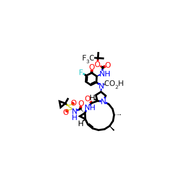 C[C@H]1CC/C=C\[C@@H]2C[C@@]2(C(=O)NS(=O)(=O)C2(C)CC2)NC(=O)[C@@H]2C[C@@H](N(C(=O)O)C3=CC=C(F)C(=O)[C@H]3NC(=O)OC(C)(C)C(F)(F)F)CN2CC[C@H](C)C1